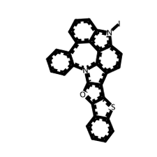 In1c2cccc3c4ccccc4n4c5oc6c7ccccc7sc6c5c5ccc1c(c32)c54